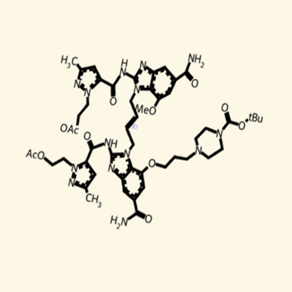 COc1cc(C(N)=O)cc2nc(NC(=O)c3cc(C)nn3CCOC(C)=O)n(C/C=C/Cn3c(NC(=O)c4cc(C)nn4CCOC(C)=O)nc4cc(C(N)=O)cc(OCCCN5CCN(C(=O)OC(C)(C)C)CC5)c43)c12